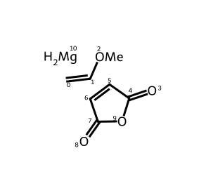 C=COC.O=C1C=CC(=O)O1.[MgH2]